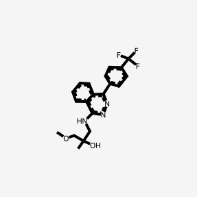 COCC(C)(O)CNc1nnc(-c2ccc(C(F)(F)F)cc2)c2ccccc12